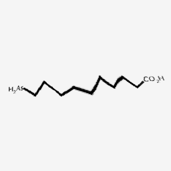 O=C(O)CCCCCCCCC[AsH2]